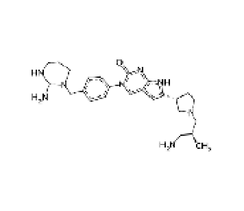 C[C@@H](CN)CN1CC[C@@H](c2cc3cn(-c4ccc(CN5CCCNC5N)cc4)c(=O)nc3[nH]2)C1